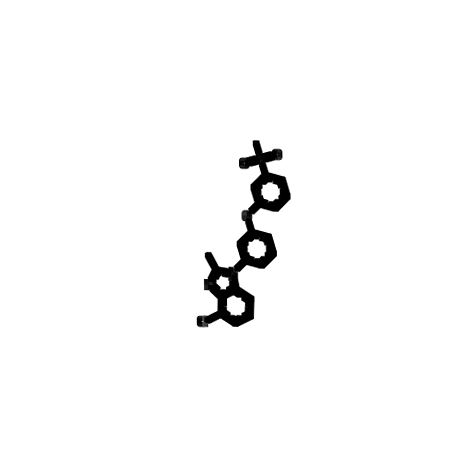 Cc1nc2c(Cl)cccc2n1-c1cccc(Oc2cccc(S(C)(=O)=O)c2)c1